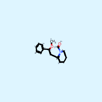 COC(CC1CCCCN1[C]=O)c1ccccc1